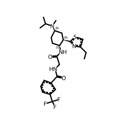 CCc1csc([C@@H]2C[C@H](N(C)C(C)C)CC[C@@H]2NC(=O)CNC(=O)c2cccc(C(F)(F)F)c2)n1